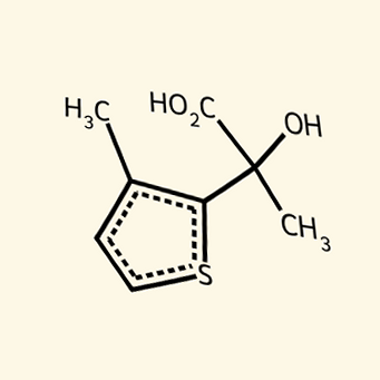 Cc1ccsc1C(C)(O)C(=O)O